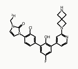 [2H]Cn1ccn(-c2ccc(-c3cc(F)cc(-c4ccnc(N5CC6(CNC6)C5)c4)c3O)cc2Cl)c1=O